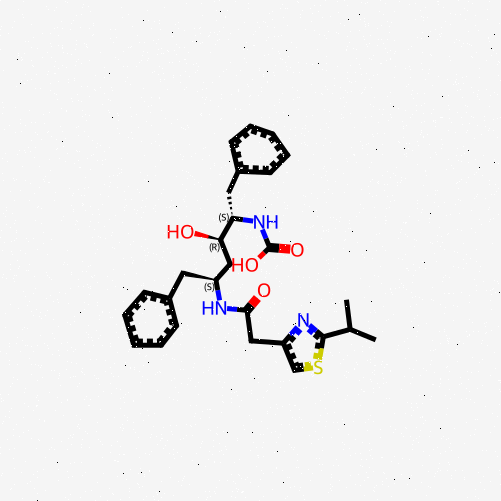 CC(C)c1nc(CC(=O)N[C@@H](Cc2ccccc2)C[C@@H](O)[C@H](Cc2ccccc2)NC(=O)O)cs1